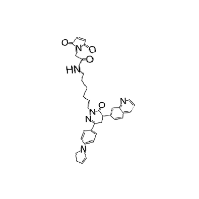 O=C(CN1C(=O)C=CC1=O)NCCCCCCN1N=C(c2ccc(N3C=CCC3)cc2)CC(c2ccc3cccnc3c2)C1=O